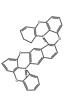 S=P12C3=C(C=CCC3)Oc3cccc(c31)Oc1ccc3cc4c(cc3c12)Oc1cccc2c1P4(=S)c1ccccc1O2